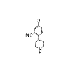 N#Cc1cc(Cl)ccc1N1CCNCC1